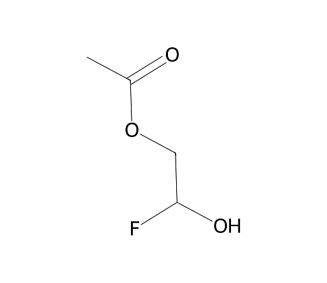 CC(=O)OCC(O)F